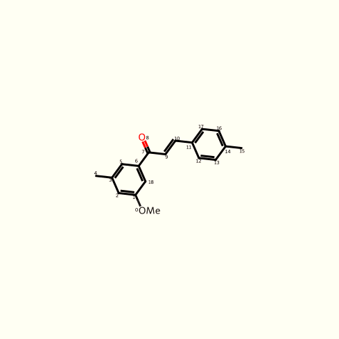 COc1cc(C)cc(C(=O)/C=C/c2ccc(C)cc2)c1